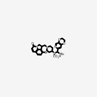 CC(C)(C)C(c1cc2c(cn1)OCCO2)N(C(=O)O)C1CCN(CC2Cn3c(=O)ccc4ccc(Br)c2c43)CC1